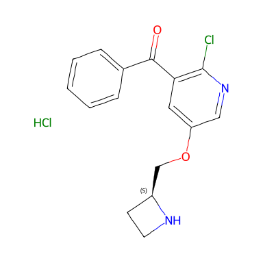 Cl.O=C(c1ccccc1)c1cc(OC[C@@H]2CCN2)cnc1Cl